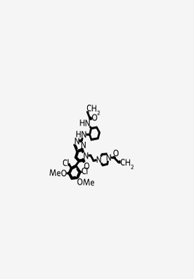 C=CC(=O)NC1CCCCC1Nc1ncc2cc(-c3c(Cl)c(OC)cc(OC)c3Cl)c(=O)n(CCN3CCN(C(=O)C=C)CC3)c2n1